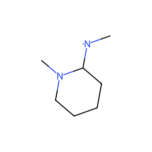 C[N]C1CCCCN1C